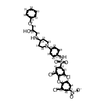 O=[N+]([O-])c1ccc(Oc2c(Cl)cc(S(=O)(=O)Nc3ccc(N4CCC(NC[C@H](O)COc5ccccc5)CC4)cc3)cc2Cl)c(Cl)c1